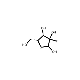 OC[C@H]1SC(O)[C@@](O)(F)[C@@H]1O